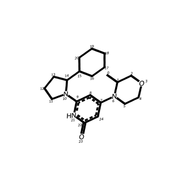 CC1COCCN1c1cc(N2CCCC2C2CCCCC2)[nH]c(=O)c1